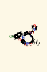 C[C@H]1C/C=C/[C@@](O)(/C=C/CN2CCOCC2)[C@@H]2CC[C@H]2CN2C[C@@]3(CCCc4cc(Cl)ccc43)COc3ccc(cc32)S(=O)(=O)NC(=O)[C@@H]1C